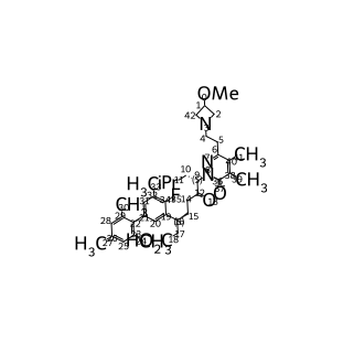 COC1CN(CCc2nn([C@@H](CC(C)C)C(=O)CC[C@@H](CC(=O)O)c3cc(-c4c(C)cc(C)cc4C)cc(C)c3F)c(=O)c(C)c2C)C1